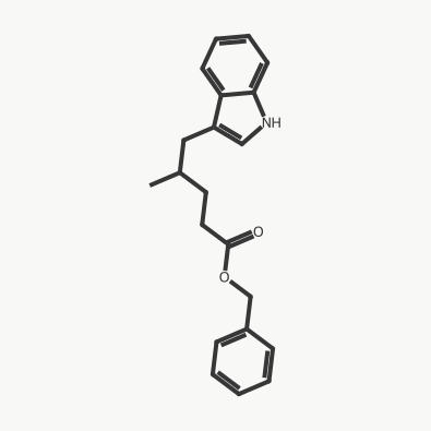 CC(CCC(=O)OCc1ccccc1)Cc1c[nH]c2ccccc12